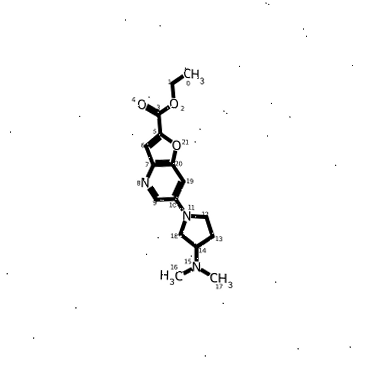 CCOC(=O)c1cc2ncc(N3CCC(N(C)C)C3)cc2o1